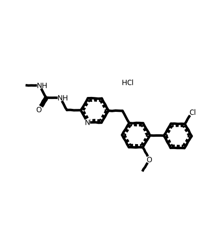 CNC(=O)NCc1ccc(Cc2ccc(OC)c(-c3cccc(Cl)c3)c2)cn1.Cl